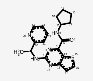 C[C@H](Nc1nc(C(=O)NC2CCCC2)c2sccc2n1)c1ccccn1